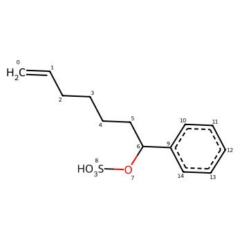 C=CCCCCC(OS(=O)(=O)O)c1ccccc1